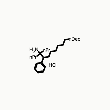 CCCCCCCCCCCCCCCCC(c1ccccc1)C(N)(CCC)CCC.Cl